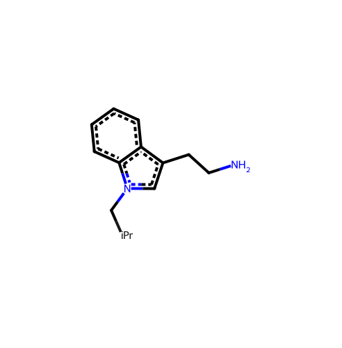 CC(C)Cn1cc(CCN)c2ccccc21